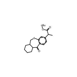 CCCCOC(=O)C(C)c1ccc2c(c1)SCC1CCCCC1C2=O